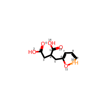 O=C(O)CC(CC1=CC=CPO1)C(=O)O